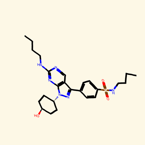 CCCCNc1ncc2c(-c3ccc(S(=O)(=O)NCCCC)cc3)nn([C@H]3CC[C@H](O)CC3)c2n1